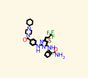 NC(=O)[C@H]1C2C=CC(C2)[C@@H]1Nc1nc(Nc2ccc(C(=O)N3CCN(C4CCCCC4)CC3)cc2)nc2cc(C(F)(F)F)sc12